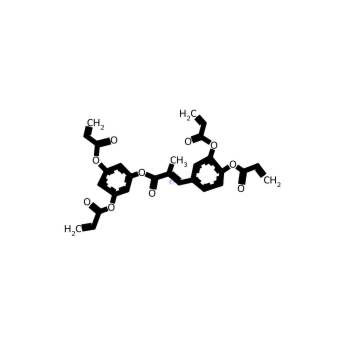 C=CC(=O)Oc1cc(OC(=O)C=C)cc(OC(=O)/C(C)=C/c2ccc(OC(=O)C=C)c(OC(=O)C=C)c2)c1